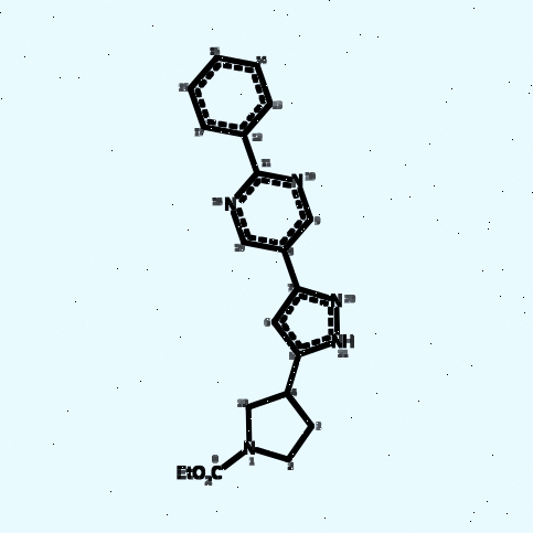 CCOC(=O)N1CCC(c2cc(-c3cnc(-c4ccccc4)nc3)n[nH]2)C1